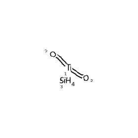 [O]=[Ti]=[O].[SiH4]